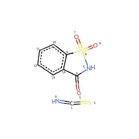 N=C=S.O=C1NS(=O)(=O)c2ccccc21